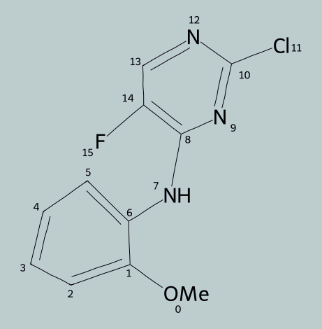 COc1ccccc1Nc1nc(Cl)ncc1F